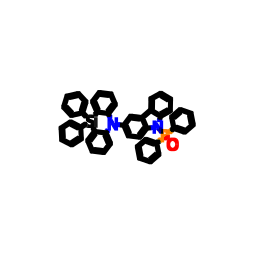 O=P(c1ccccc1)(c1ccccc1)n1c2ccccc2c2cc(N3c4ccccc4[Si](c4ccccc4)(c4ccccc4)c4ccccc43)ccc21